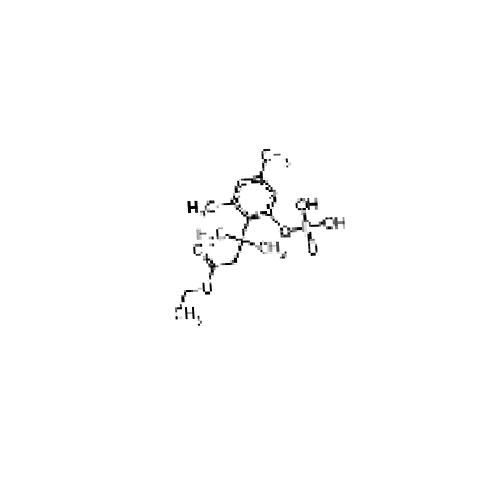 CCOC(=O)CC(C)(C)c1c(C)cc(C)cc1OP(=O)(O)O